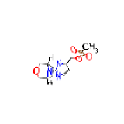 CS(=O)(=O)OCc1ccnc(N2[C@@H]3CC[C@H]2COC3)n1